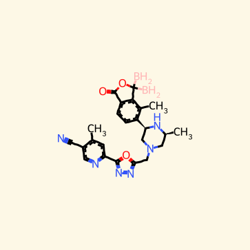 BC1(B)OC(=O)c2ccc([C@@H]3CN(Cc4nnc(-c5cc(C)c(C#N)cn5)o4)C[C@H](C)N3)c(C)c21